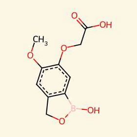 COc1cc2c(cc1OCC(=O)O)B(O)OC2